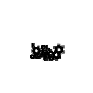 COc1ccc(F)cc1C(C)(C)CC(Cc1ccnc2ccccc12)(NC=O)C(F)(F)F